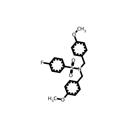 COc1ccc(CN(Cc2ccc(OC)cc2)S(=O)(=O)c2ccc(F)cc2)cc1